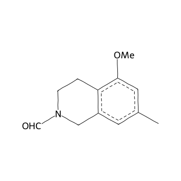 COc1cc(C)cc2c1CCN(C=O)C2